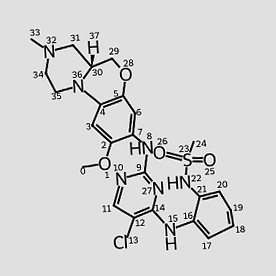 COc1cc2c(cc1Nc1ncc(Cl)c(Nc3ccccc3NS(C)(=O)=O)n1)OC[C@H]1CN(C)CCN21